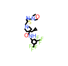 O=C(NCc1cc(C(F)(F)F)cc(C(F)(F)F)c1)C1(CC2CC2)CCN(Cc2cnc(N3CCOCC3)s2)CC1